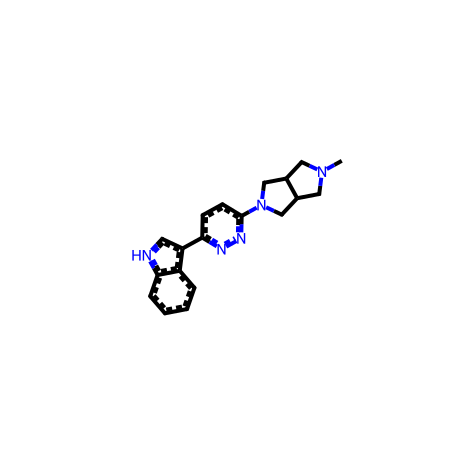 CN1CC2CN(c3ccc(-c4c[nH]c5ccccc45)nn3)CC2C1